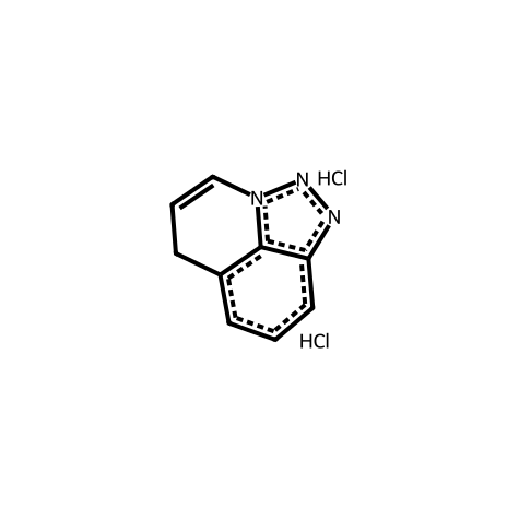 C1=Cn2nnc3cccc(c32)C1.Cl.Cl